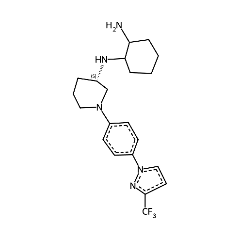 NC1CCCCC1N[C@H]1CCCN(c2ccc(-n3ccc(C(F)(F)F)n3)cc2)C1